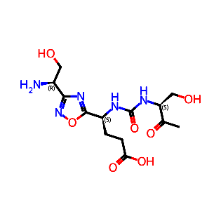 CC(=O)[C@H](CO)NC(=O)N[C@@H](CCC(=O)O)c1nc([C@@H](N)CO)no1